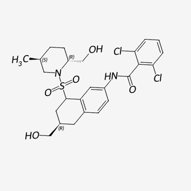 C[C@H]1CC[C@H](CO)N(S(=O)(=O)C2C[C@H](CO)Cc3ccc(NC(=O)c4c(Cl)cccc4Cl)cc32)C1